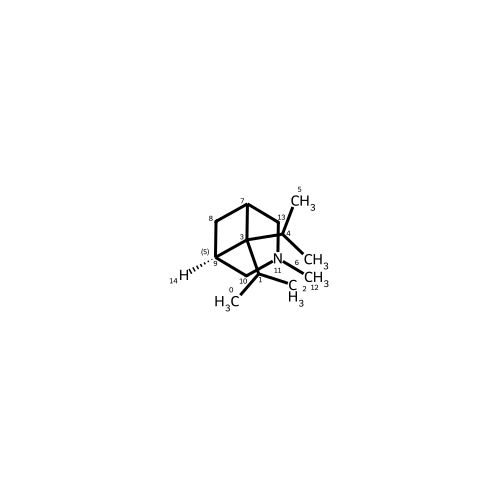 CC(C)C1(C(C)C)C2C[C@@H]1CN(C)C2